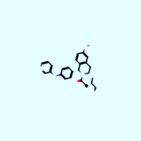 C#CC(=O)N1[C@@H](CCCC)Cc2cc(OC)ccc2[C@@H]1c1ccc(Nc2cccnc2)cc1